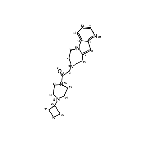 O=C(CN1CCn2c(cc3ncccc32)C1)N1CCN(C2CCC2)CC1